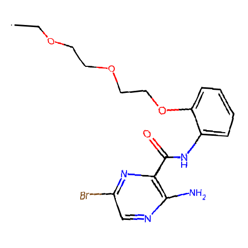 [CH2]COCCOCCOc1ccccc1NC(=O)c1nc(Br)cnc1N